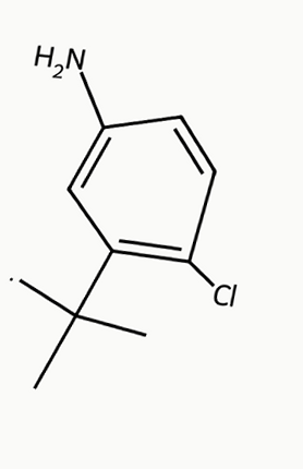 [CH2]C(C)(C)c1cc(N)ccc1Cl